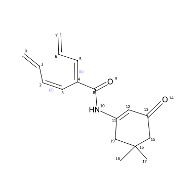 C=C/C=C\C(=C/C=C)C(=O)NC1=CC(=O)CC(C)(C)C1